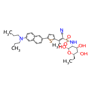 CCCN(CCC)c1ccc2cc(-c3ccc(/C(C)=C(\C#N)S(=O)(=O)N[C@H]4C(O)O[C@H](CC)[C@@H](O)[C@@H]4O)s3)ccc2c1